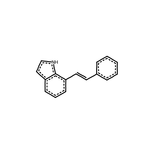 C(=Cc1cccc2cc[nH]c12)c1ccccc1